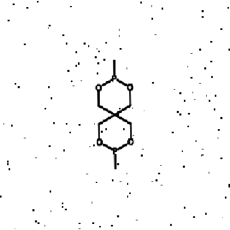 CP1OCC2(CO1)COP(C)OC2